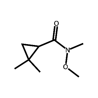 CON(C)C(=O)C1CC1(C)C